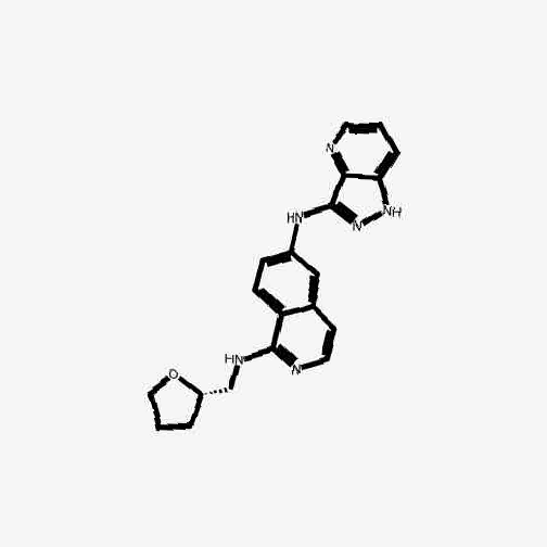 c1cnc2c(Nc3ccc4c(NC[C@@H]5CCCO5)nccc4c3)n[nH]c2c1